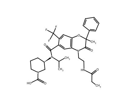 CCC(=O)NCCN1C(=O)C(C)(c2ccccc2)Oc2cc(C(F)(F)F)c(C(=O)N(C(C)C)[C@@H]3CCCN(C(=O)O)C3)cc21